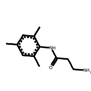 Cc1cc(C)c(NC(=O)CCN)c(C)c1